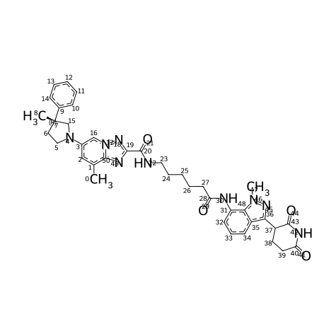 Cc1cc(N2CC[C@](C)(c3ccccc3)C2)cn2nc(C(=O)NCCCCCC(=O)Nc3cccc4c(C5CCC(=O)NC5=O)nn(C)c34)nc12